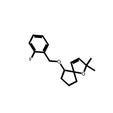 CC1(C)C=CC2(CCCC2OCc2ccccc2F)O1